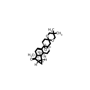 CC1(C)COC2(CC[C@]34O[C@]3(CC[C@@H]3C4=CC[C@]4(C)C(=O)[C@H]5C[C@H]5[C@@H]34)C2)OC1